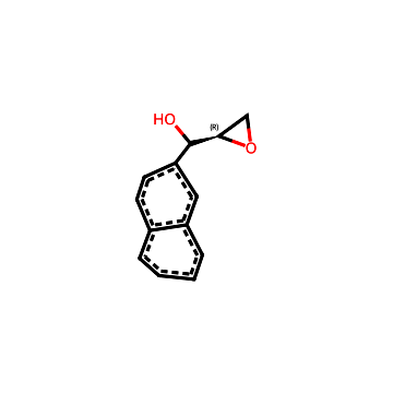 OC(c1ccc2ccccc2c1)[C@H]1CO1